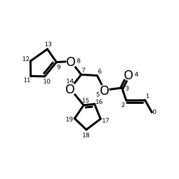 C/C=C/C(=O)OCC(OC1=CCCC1)OC1=CCCC1